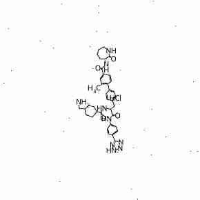 Cc1cc(C(=O)N[C@@H]2CCCCNC2=O)ccc1-c1ccc(C[C@H](NC(=O)C2CCC(CN)CC2)C(=O)Nc2ccc(-c3nn[nH]n3)cc2)cc1.Cl